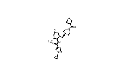 Cc1cc(Cl)cc(C=C2CCN(C(=O)C3CCCC3)CC2)c1NC(=O)c1cnn(C2CC2)c1